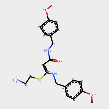 COc1ccc(CNC(=O)/C=C(\NCc2ccc(OC)cc2)SCCN)cc1